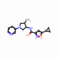 CC1CN(c2cccnc2)CC1NC(=O)c1cc(C2CC2)on1